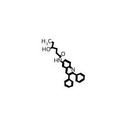 CCC(O)CCC(=O)Nc1ccc2nc(-c3ccccc3)c(-c3ccccc3)cc2c1